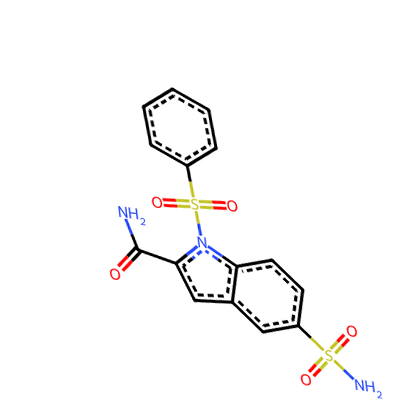 NC(=O)c1cc2cc(S(N)(=O)=O)ccc2n1S(=O)(=O)c1ccccc1